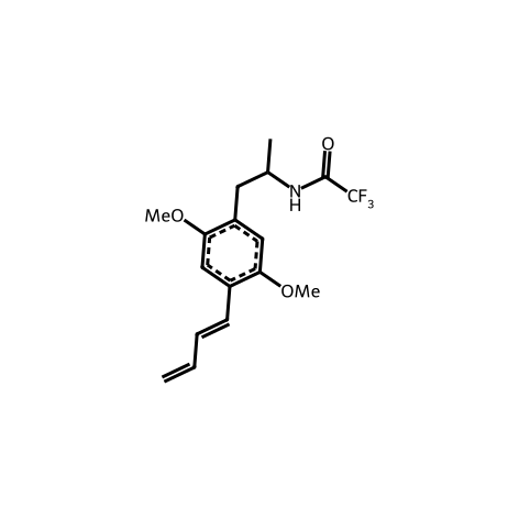 C=CC=Cc1cc(OC)c(CC(C)NC(=O)C(F)(F)F)cc1OC